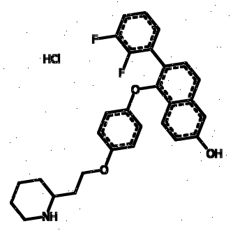 Cl.Oc1ccc2c(Oc3ccc(OCCC4CCCCN4)cc3)c(-c3cccc(F)c3F)ccc2c1